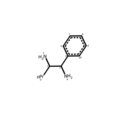 CCCC(N)C(N)c1ccccc1